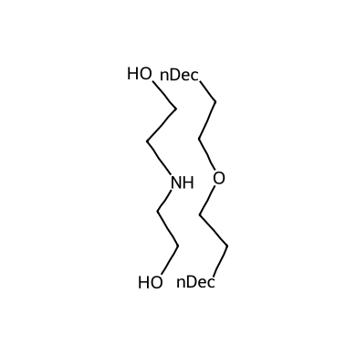 CCCCCCCCCCCCOCCCCCCCCCCCC.OCCNCCO